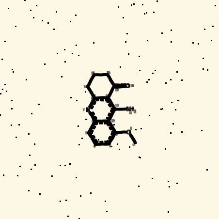 COc1cccc2nc3c(c(N)c12)C(=O)CCC3